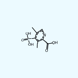 Cc1cnc(C(=O)O)c(C)c1P(=O)(O)O